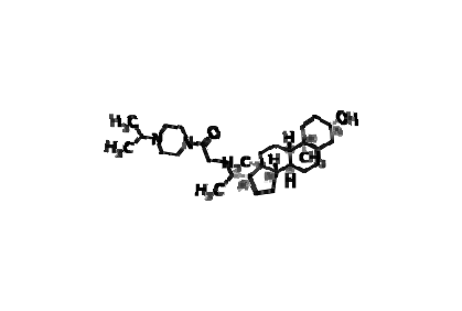 CC(CCC(=O)N1CCN(C(C)C)CC1)[C@H]1CC[C@H]2[C@@H]3CC=C4C[C@@H](O)CC[C@]4(C)[C@H]3CC[C@]12C